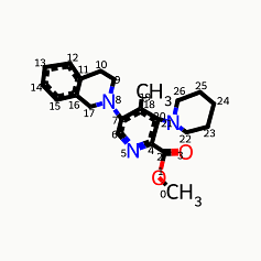 COC(=O)c1ncc(N2CCc3ccccc3C2)c(C)c1N1CCCCC1